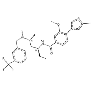 CC[C@@H](C[C@H](C)N(C)Cc1cccc(C(F)(F)F)c1)NC(=O)c1ccc(-n2cnc(C)c2)c(OC)c1